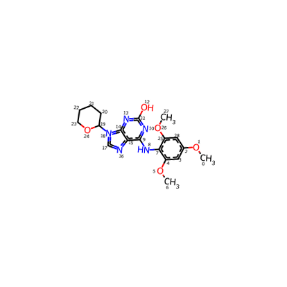 COc1cc(OC)c(Nc2nc(O)nc3c2ncn3C2CCCCO2)c(OC)c1